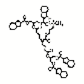 CN(C)CCCSC(=O)N(CCCC(=O)OC(COC(=O)C1CC2CCCCC2C1)COC(=O)C1CC2CCCCC2C1)CCCC(=O)OC(COC(=O)C1CC2CCCCC2C1)COC(=O)C1CC2CCCCC2C1